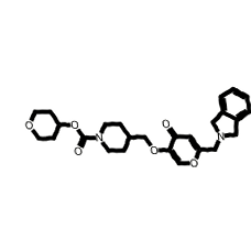 O=C(OC1CCOCC1)N1CCC(COc2coc(CN3Cc4ccccc4C3)cc2=O)CC1